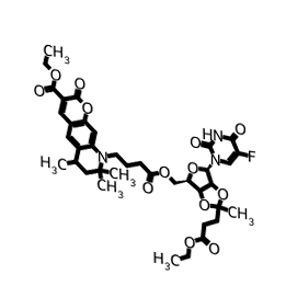 CCOC(=O)CCC1(C)OC2C(O1)[C@@H](COC(=O)CCCN1c3cc4oc(=O)c(C(=O)OCC)cc4cc3C(C)CC1(C)C)O[C@H]2n1cc(F)c(=O)[nH]c1=O